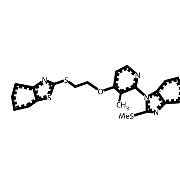 CSc1nc2ccccc2n1-c1nccc(OCCSc2nc3ccccc3s2)c1C